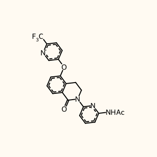 CC(=O)Nc1cccc(N2CCc3c(Oc4ccc(C(F)(F)F)nc4)cccc3C2=O)n1